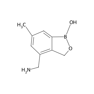 Cc1cc(CN)c2c(c1)B(O)OC2